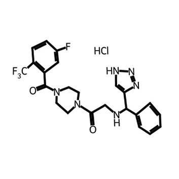 Cl.O=C(CNC(c1ccccc1)c1c[nH]nn1)N1CCN(C(=O)c2cc(F)ccc2C(F)(F)F)CC1